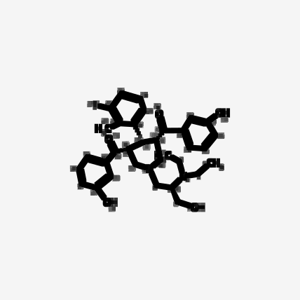 CCN(CC)[C@@H](CO)CN1C[C@H](C(=O)c2cccc(O)c2)[C@H](c2cccc(F)c2C)[C@H](C(=O)c2cccc(O)c2)C1